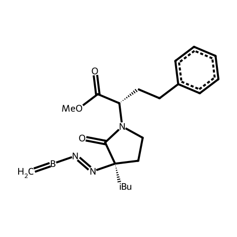 C=BN=N[C@]1(C(C)CC)CCN([C@@H](CCc2ccccc2)C(=O)OC)C1=O